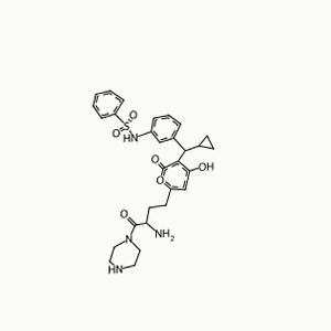 NC(CCc1cc(O)c(C(c2cccc(NS(=O)(=O)c3ccccc3)c2)C2CC2)c(=O)o1)C(=O)N1CCNCC1